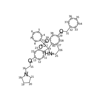 O=S(=O)(c1ccccc1)C1(c2ccc(OCCN3CCCC3)cc2)NCCc2cc(OCc3ccccc3)ccc21